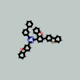 c1ccc(-c2cccc(-c3nc(-c4ccc5c(c4)oc4ccccc45)nc(-c4ccc(-c5ccc6c(c5)sc5ccccc56)c5oc6ccccc6c45)n3)c2)cc1